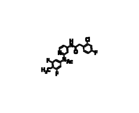 CC(=O)N(c1cc(F)c(C)c(F)c1)c1cc(NC(=O)Cc2ccc(F)cc2Cl)ccn1